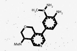 CNC1COCc2c(-c3ccc(N)c(N(C)N)c3)cncc21